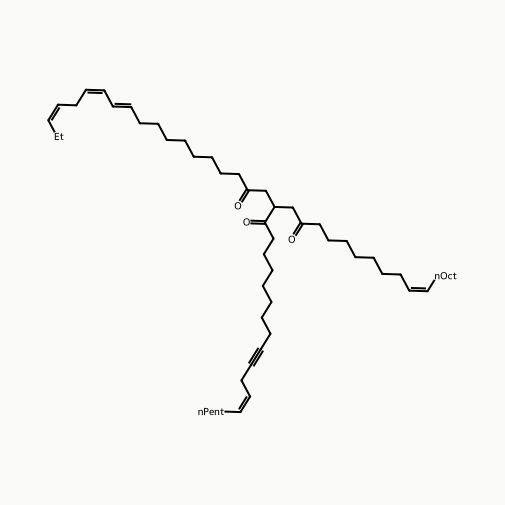 CC/C=C\C/C=C\C=C\CCCCCCCCC(=O)CC(CC(=O)CCCCCCC/C=C\CCCCCCCC)C(=O)CCCCCCCC#CC/C=C\CCCCC